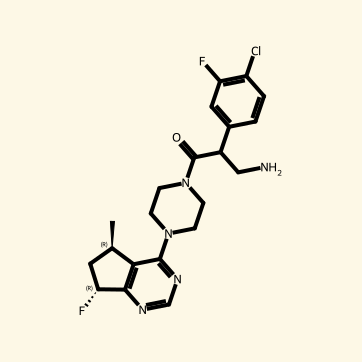 C[C@@H]1C[C@@H](F)c2ncnc(N3CCN(C(=O)C(CN)c4ccc(Cl)c(F)c4)CC3)c21